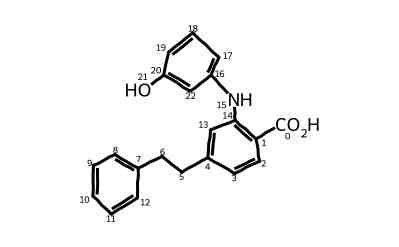 O=C(O)c1ccc(CCc2ccccc2)cc1Nc1cccc(O)c1